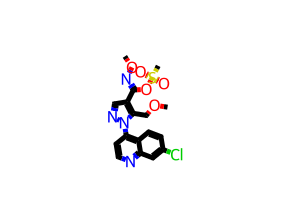 COCc1c(C(=NOC)OS(C)(=O)=O)cnn1-c1ccnc2cc(Cl)ccc12